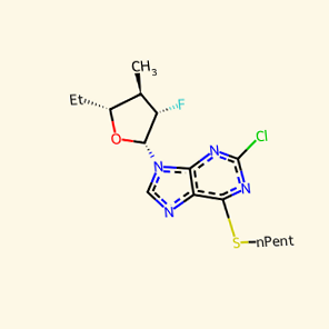 CCCCCSc1nc(Cl)nc2c1ncn2[C@@H]1O[C@H](CC)[C@@H](C)[C@@H]1F